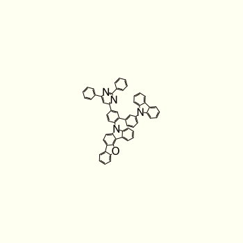 c1ccc(-c2cc(-c3ccc(-n4c5ccccc5c5c6oc7ccccc7c6ccc54)c(-c4cccc(-n5c6ccccc6c6ccccc65)c4)c3)nc(-c3ccccc3)n2)cc1